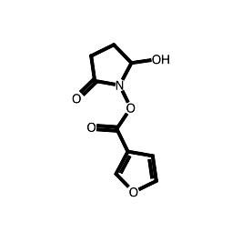 O=C(ON1C(=O)CCC1O)c1ccoc1